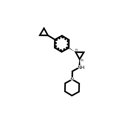 c1cc([C@@H]2C[C@H]2NCN2CCCCC2)ccc1C1CC1